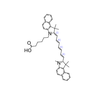 C[N+]1=C(/C=C/C=C/C=C/C=C2\N(CCCCCC(=O)O)c3ccc4ccccc4c3C2(C)C)C(C)(C)c2c1ccc1ccccc21